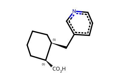 O=C(O)[C@H]1CCCC[C@H]1Cc1cccnc1